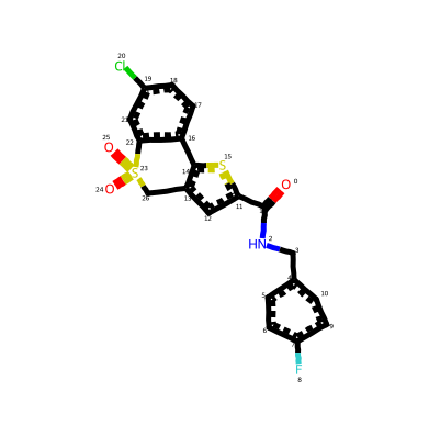 O=C(NCc1ccc(F)cc1)c1cc2c(s1)-c1ccc(Cl)cc1S(=O)(=O)C2